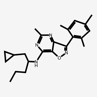 CCCC(CC1CC1)Nc1nc(C)nc2c(-c3c(C)cc(C)cc3C)noc12